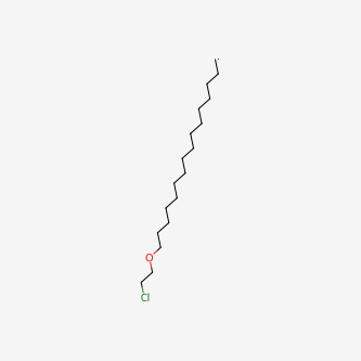 [CH2]CCCCCCCCCCCCCCCOCCCl